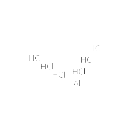 Cl.Cl.Cl.Cl.Cl.Cl.[Al]